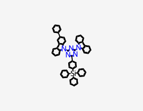 c1ccc(-c2ccc3c(c2)c2ccccc2n3-c2nc(-c3ccc([Si](c4ccccc4)(c4ccccc4)c4ccccc4)cc3)nc(-n3c4ccccc4c4ccccc43)n2)cc1